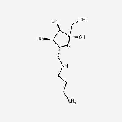 CCCCNC[C@H]1O[C@@](O)(CO)[C@H](O)[C@@H]1O